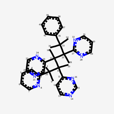 CC(C)(c1ccccn1)C(C)(c1ccncn1)C(C)(c1cnccn1)C(C)(c1ncccn1)C(C)(C)c1ccccc1